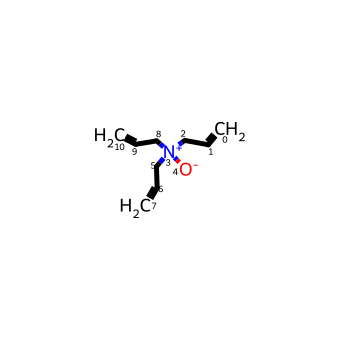 C=CC[N+]([O-])(CC=C)CC=C